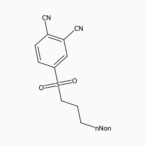 CCCCCCCCCCCCS(=O)(=O)c1ccc(C#N)c(C#N)c1